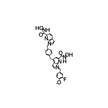 COc1ccc(Cn2ccc3c(Cc4ccc(Cn5ccc6ccc(C(=O)NO)nc65)cc4)cc(C(=O)NO)nc32)cc1F